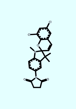 CN1c2ccc(N3C(=O)CCC3=O)cc2C(C)(C)C12C=Cc1cc(Cl)cc(Cl)c1O2